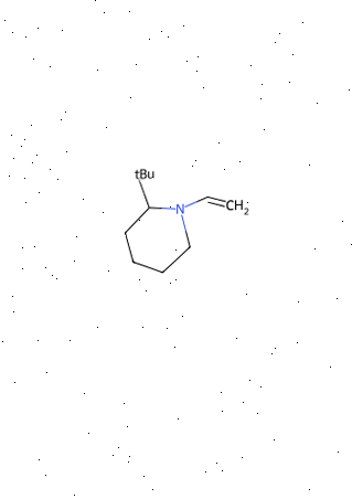 C=CN1CCCCC1C(C)(C)C